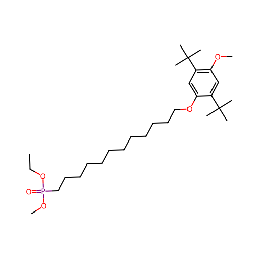 CCOP(=O)(CCCCCCCCCCCCOc1cc(C(C)(C)C)c(OC)cc1C(C)(C)C)OC